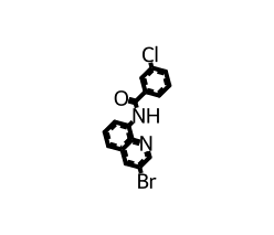 O=C(Nc1cccc2cc(Br)cnc12)c1cccc(Cl)c1